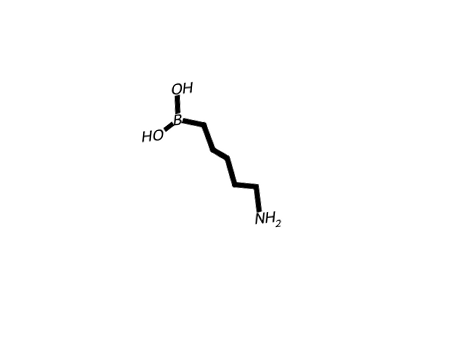 NCCCCCB(O)O